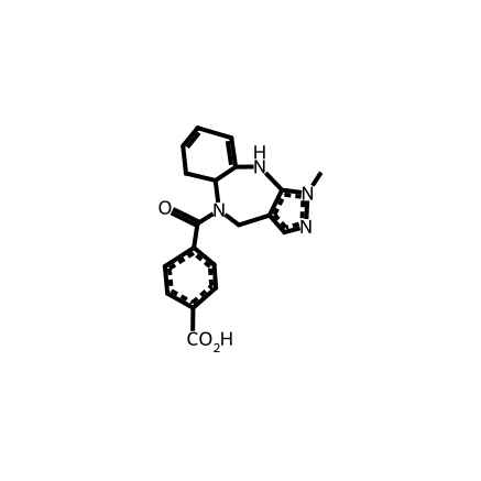 Cn1ncc2c1NC1=CC=CCC1N(C(=O)c1ccc(C(=O)O)cc1)C2